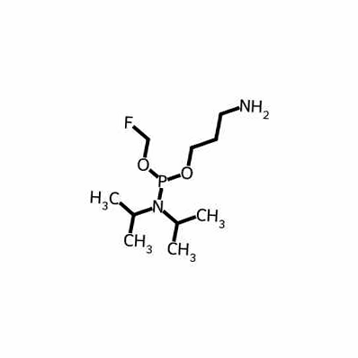 CC(C)N(C(C)C)P(OCF)OCCCN